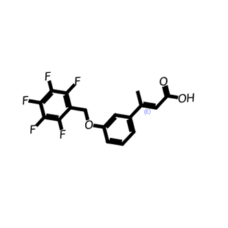 C/C(=C\C(=O)O)c1cccc(OCc2c(F)c(F)c(F)c(F)c2F)c1